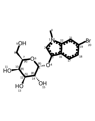 Cn1cc(O[C@H]2O[C@H](CO)[C@H](O)[C@H](O)[C@H]2O)c2ccc(Br)cc21